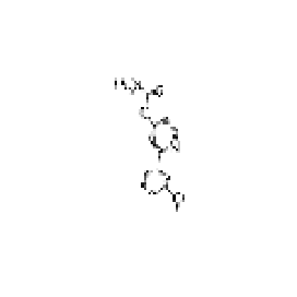 COc1cccc(-c2nccc(OC(N)=O)n2)c1